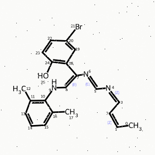 C\C=C/C=N\C=N\C(=C\Nc1c(C)cccc1C)c1cc(Br)ccc1O